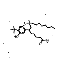 CCCCCCCCC1(C)CC(CCCCC(=O)NC)c2cc(O)c(C(C)(C)C)cc2O1